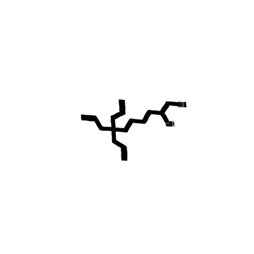 C=CC[Si](CC=C)(CC=C)CCCCC(O)CO